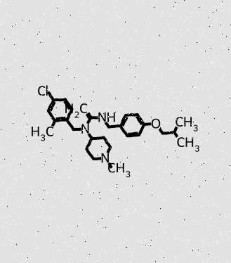 C=C(NCc1ccc(OCC(C)C)cc1)N(Cc1ccc(Cl)cc1C)C1CCN(C)CC1